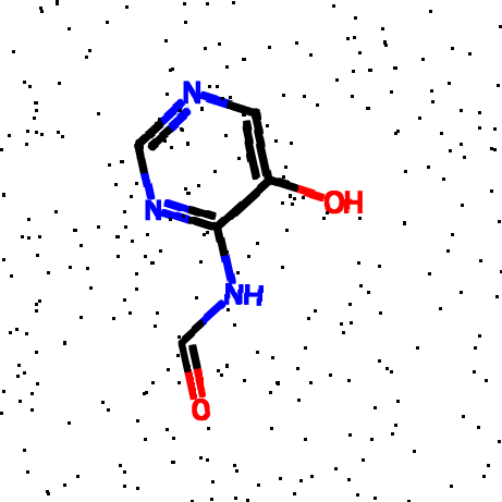 O=CNc1ncncc1O